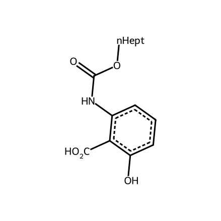 CCCCCCCOC(=O)Nc1cccc(O)c1C(=O)O